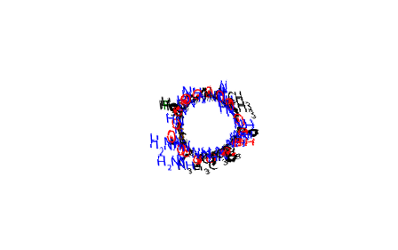 CCCC[C@H]1C(=O)N(C)[C@@H](CCCC)C(=O)N[C@@H](CCCNC(=N)N)C(=O)N[C@H](C(=O)NCC(N)=O)CSCC(=O)N[C@@H](Cc2cccc(F)c2)C(=O)N(C)[C@@H](C)C(=O)N[C@@H](CC(N)=O)C(=O)N2CCC[C@H]2C(=O)N[C@@H](Cc2cnc[nH]2)C(=O)N[C@@H](CC(C)C)C(=O)N2CCCC2C(=O)N[C@@H](Cc2c[nH]c3ccccc23)C(=O)N[C@@H](CO)C(=O)N[C@@H](Cc2c[nH]c3ccccc23)C(=O)N1C